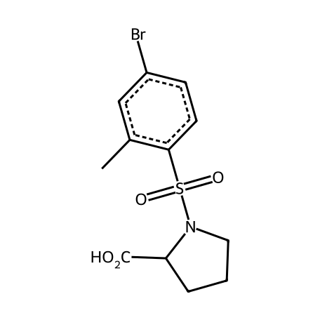 Cc1cc(Br)ccc1S(=O)(=O)N1CCCC1C(=O)O